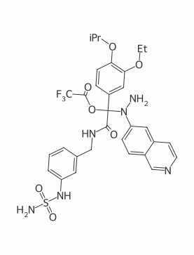 CCOc1cc(C(OC(=O)C(F)(F)F)(C(=O)NCc2cccc(NS(N)(=O)=O)c2)N(N)c2ccc3cnccc3c2)ccc1OC(C)C